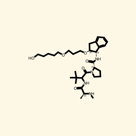 CN[C@@H](C)C(=O)NC(C(=O)N1CCC[C@H]1C(=O)N[C@H]1c2ccccc2C[C@H]1OCCCOCCCCCO)C(C)(C)C